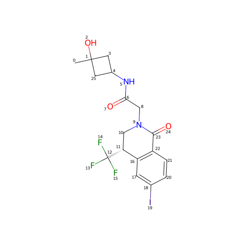 CC1(O)CC(NC(=O)CN2C[C@@H](C(F)(F)F)c3cc(I)ccc3C2=O)C1